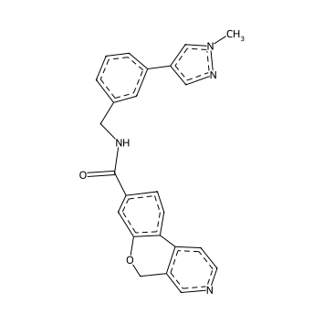 Cn1cc(-c2cccc(CNC(=O)c3ccc4c(c3)OCc3cnccc3-4)c2)cn1